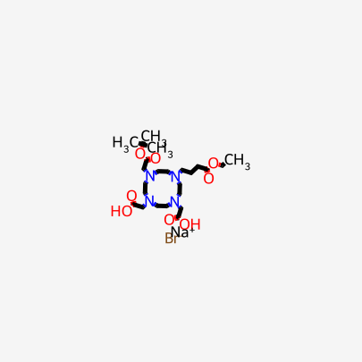 CCOC(=O)CCCN1CCN(CC(=O)O)CCN(CC(=O)O)CCN(CC(=O)OC(C)(C)C)CC1.[Br-].[Na+]